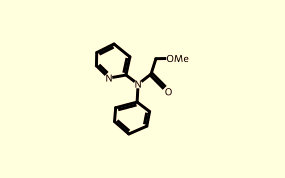 COCC(=O)N(c1ccccc1)c1ccccn1